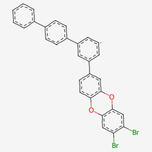 Brc1cc2c(cc1Br)Oc1cc(-c3c[c]cc(-c4ccc(-c5ccccc5)cc4)c3)ccc1O2